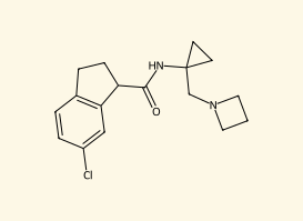 O=C(NC1(CN2CCC2)CC1)C1CCc2ccc(Cl)cc21